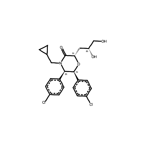 O=C1[C@H](C[C@@H](O)CO)O[C@@H](c2ccc(Cl)cc2)[C@@H](c2ccc(Cl)cc2)N1CC1CC1